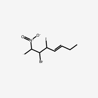 [CH2]C(C(Br)C(I)C=CCC)[N+](=O)[O-]